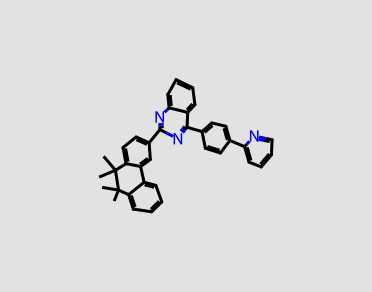 CC1(C)c2ccccc2-c2cc(-c3nc(-c4ccc(-c5ccccn5)cc4)c4ccccc4n3)ccc2C1(C)C